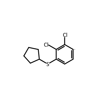 Clc1[c]ccc(SC2CCCC2)c1Cl